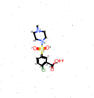 CN1CCN(S(=O)(=O)c2ccc(Cl)c(C(=O)O)c2)CC1